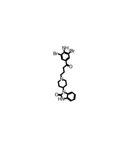 Nc1c(Br)cc(C(=O)CCCN2CCC(n3c(=O)[nH]c4ccccc43)CC2)cc1Br